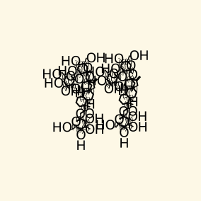 C=C1C[C@@]23CC[C@H]4[C@@](C)(CCC[C@@]4(C)C(=O)O[C@@H]4O[C@H](CO)[C@@H](O)[C@H](O)[C@H]4O)[C@@H]2CC[C@]1(O[C@@H]1O[C@H](CO)[C@@H](O)[C@H](O)[C@H]1O[C@@H]1O[C@H](CO)[C@@H](O)[C@H](O)[C@H]1O)C3.C=C1C[C@@]23CC[C@H]4[C@@](C)(CCC[C@@]4(C)C(=O)O[C@@H]4O[C@H](CO)[C@@H](O)[C@H](O)[C@H]4O)[C@@H]2CC[C@]1(O[C@@H]1O[C@H](CO)[C@@H](O)[C@H](O)[C@H]1O[C@@H]1O[C@H](CO)[C@@H](O)[C@H](O)[C@H]1O)C3